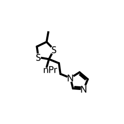 CCCC1(CCn2ccnc2)SCC(C)S1